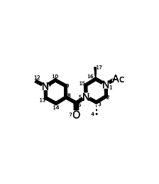 CC(=O)N1C[C@H](C)N(C(=O)C2CCN(C)CC2)C[C@H]1C